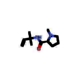 C=CC(C)(C)NC(=O)[C@@H]1CCCN1C